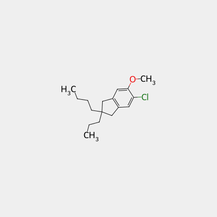 CCCCC1(CCC)Cc2cc(Cl)c(OC)cc2C1